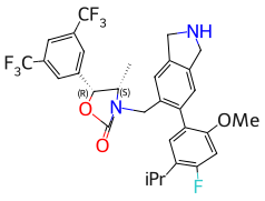 COc1cc(F)c(C(C)C)cc1-c1cc2c(cc1CN1C(=O)O[C@H](c3cc(C(F)(F)F)cc(C(F)(F)F)c3)[C@@H]1C)CNC2